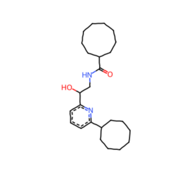 O=C(NCC(O)c1cccc(C2CCCCCCC2)n1)C1CCCCCCCC1